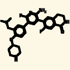 CN(C)Cc1cc(-c2cc(-c3cc4c(cc3F)C(=O)NCC4)c(N)nc2F)ccc1OC1CCNCC1